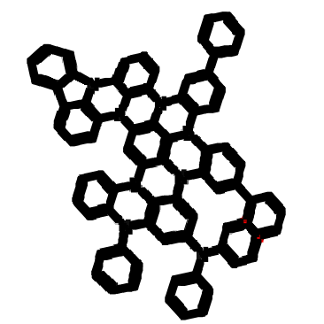 c1ccc(-c2ccc3c(c2)N2c4cc(N(c5ccccc5)c5ccccc5)cc5c4B(c4ccccc4N5c4ccccc4)c4cc5c6c(c42)B3c2ccc(-c3ccccc3)cc2N6c2cccc3c2B5c2cccc4c5ccccc5n-3c24)cc1